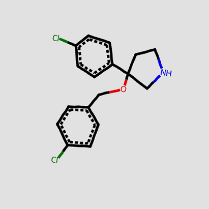 Clc1ccc(COC2(c3ccc(Cl)cc3)CCNC2)cc1